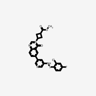 COC(=O)C1CC(n2cnc3ccc(-c4cncc(NSc5ccc(F)cc5Cl)c4)cc3c2=O)C1